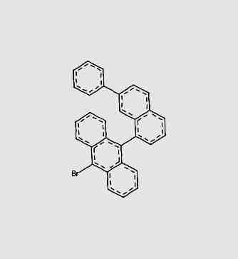 Brc1c2ccccc2c(-c2cccc3ccc(-c4ccccc4)cc23)c2ccccc12